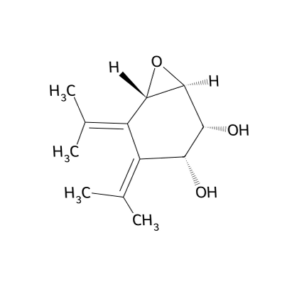 CC(C)=C1C(=C(C)C)[C@@H]2O[C@H]2[C@H](O)[C@@H]1O